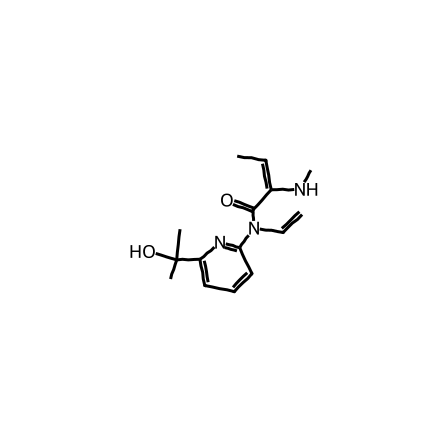 C=CN(C(=O)/C(=C\C)NC)c1cccc(C(C)(C)O)n1